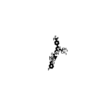 CN(C)c1nc(CNC(=O)C2(NS(=O)(=O)c3cc4cc(F)ccc4o3)CC2)cc(-c2ccc(C(F)(F)F)cc2)n1